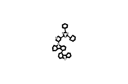 c1ccc(-c2nc(-c3ccccc3)nc(-c3cncc(-n4c5ccccc5c5c(-c6cccc7oc8ccccc8c67)cccc54)c3)n2)cc1